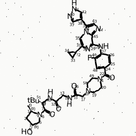 C[C@@H]1C[C@@H](O)CN1C(=O)[C@@H](NC(=O)CNC(=O)CN1CCN(C(=O)c2ccc(Nc3nc(C4CC4)cn4c(-c5cn[nH]c5)cnc34)c(F)c2)CC1)C(C)(C)C